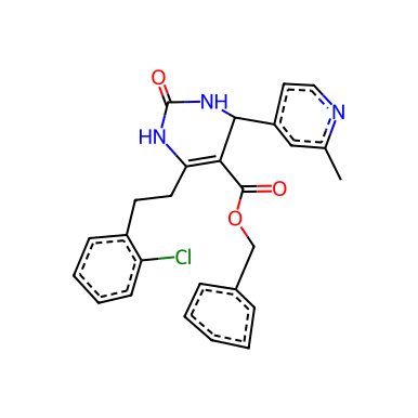 Cc1cc(C2NC(=O)NC(CCc3ccccc3Cl)=C2C(=O)OCc2ccccc2)ccn1